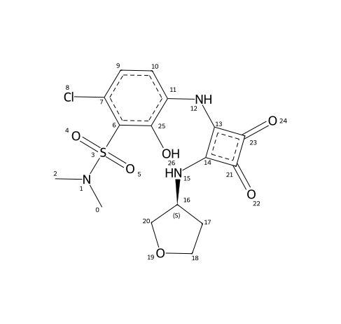 CN(C)S(=O)(=O)c1c(Cl)ccc(Nc2c(N[C@H]3CCOC3)c(=O)c2=O)c1O